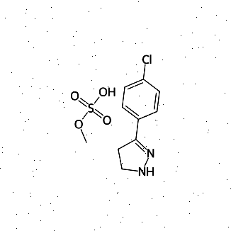 COS(=O)(=O)O.Clc1ccc(C2=NNCC2)cc1